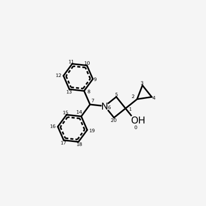 OC1(C2CC2)CN(C(c2ccccc2)c2ccccc2)C1